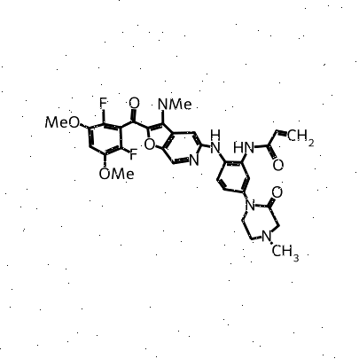 C=CC(=O)Nc1cc(N2CCN(C)CC2=O)ccc1Nc1cc2c(NC)c(C(=O)c3c(F)c(OC)cc(OC)c3F)oc2cn1